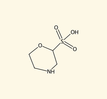 O=S(=O)(O)C1CNCCO1